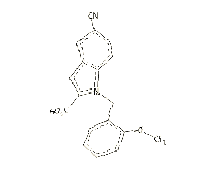 N#Cc1ccc2c(c1)cc(C(=O)O)n2Cc1ccccc1OC(F)(F)F